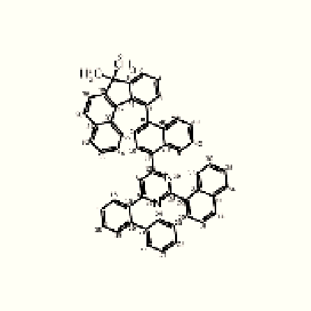 CC1(C)c2cccc(-c3ccc(-c4cc(-c5ccccc5-c5ccccc5)nc(-c5cccc6ccccc56)n4)c4ccccc34)c2-c2c1ccc1ccccc21